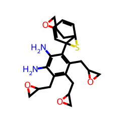 Nc1c(N)c(C23C=CC=CC2(CC2CO2)S3)c(CC2CO2)c(CC2CO2)c1CC1CO1